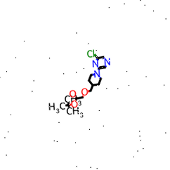 CC(C)(C)OC(=O)COCC1CCN(c2cncc(Cl)n2)CC1